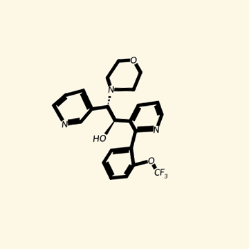 O[C@H](c1cccnc1-c1ccccc1OC(F)(F)F)[C@H](c1cccnc1)N1CCOCC1